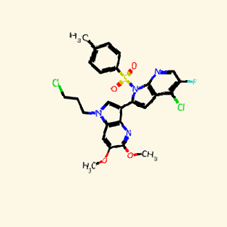 COc1cc2c(nc1OC)c(-c1cc3c(Cl)c(F)cnc3n1S(=O)(=O)c1ccc(C)cc1)cn2CCCCl